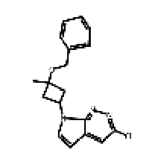 CC1(OCc2ccccc2)CC(n2ccc3cc(Cl)nnc32)C1